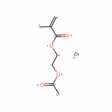 C=C(C)C(=O)OCCOC(C)=O.[Zn]